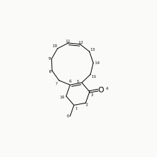 CC1CC(=O)C2=C(CCCC/C=C\CCC2)C1